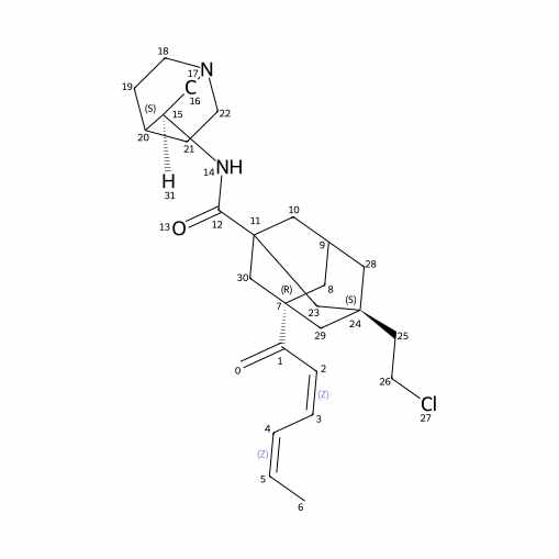 C=C(/C=C\C=C/C)[C@]12CC3CC(C(=O)N[C@@H]4CN5CCC4CC5)(C[C@](CCCl)(C3)C1)C2